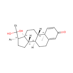 CCC(O)(O)[C@]1(C(C)=O)CC[C@H]2[C@@H]3CCC4=CC(=O)C=C[C@]4(C)[C@H]3CC[C@@]21C